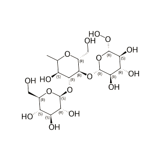 CC1O[C@H](CO)[C@@H](O[C@@H]2O[C@H](OO)[C@@H](O)[C@H](O)[C@H]2O)[C@H](O[C@@H]2O[C@H](CO)[C@@H](O)[C@H](O)[C@H]2O)[C@H]1O